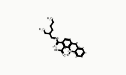 CCCCC(CC)CNC(=O)c1ccc2c(c1C(=O)O)[S+]([O-])c1ccccc1C2